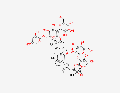 C[C@H](CC[C@@H](O[C@@H]1OC[C@@H](O)[C@H](O)[C@H]1O[C@H]1O[C@@H](CO)[C@H](O)[C@@H](O)[C@@H]1O)C(C)(C)O)C1CC[C@@]2(C)C3CC=C4C(CC[C@H](O[C@@H]5O[C@H](CO[C@@H]6OC[C@@H](O)C[C@H]6O)[C@@H](O)[C@H](O)[C@H]5C5O[C@@H](CO)[C@H](O)[C@@H](O)[C@@H]5O)C4(C)C)[C@]3(C)C(=O)C[C@]12C